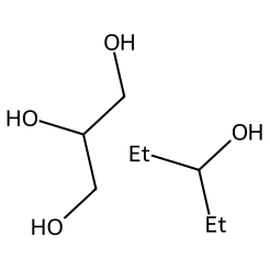 CCC(O)CC.OCC(O)CO